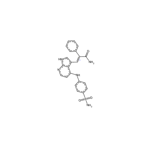 NC(=O)/C(=C/c1c[nH]c2nccc(Nc3ccc(S(N)(=O)=O)cc3)c12)c1ccccc1